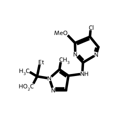 CCC(C)(C(=O)O)n1ncc(Nc2ncc(Cl)c(OC)n2)c1C